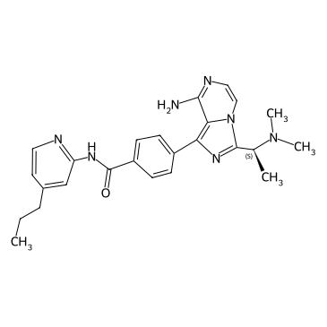 CCCc1ccnc(NC(=O)c2ccc(-c3nc([C@H](C)N(C)C)n4ccnc(N)c34)cc2)c1